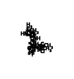 CC(C)(C)c1nc(-n2c3nc(Nc4ccc5c(c4)CNCC5(C)C)ncc3c(=O)n2CC(F)(F)F)sc1Cl